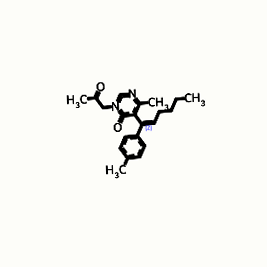 CCCC/C=C(/c1ccc(C)cc1)c1c(C)ncn(CC(C)=O)c1=O